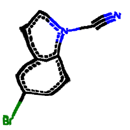 N#Cn1ccc2cc(Br)ccc21